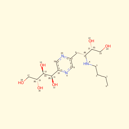 CCCCN[C@H](Cc1cnc([C@@H](O)[C@H](O)[C@H](O)CO)cn1)[C@H](O)CO